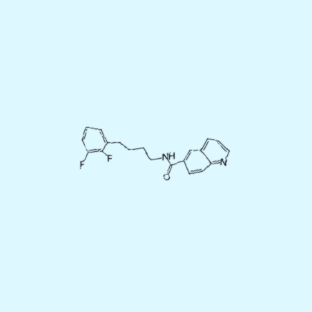 O=C(NCCCCc1cccc(F)c1F)c1ccc2ncccc2c1